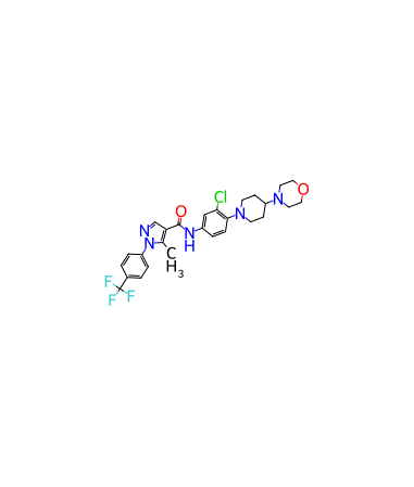 Cc1c(C(=O)Nc2ccc(N3CCC(N4CCOCC4)CC3)c(Cl)c2)cnn1-c1ccc(C(F)(F)F)cc1